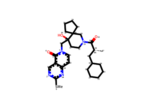 CSc1ncc2c(=O)n(CC3(O)CCN(C(=O)[C@H](C)CC4CCCCC4)CC34CCCC4)ccc2n1